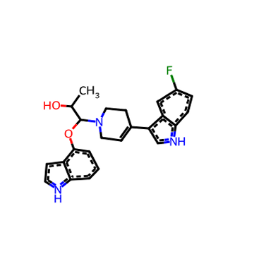 CC(O)C(Oc1cccc2[nH]ccc12)N1CC=C(c2c[nH]c3ccc(F)cc23)CC1